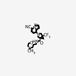 CN1CCOC(CNC(=O)[C@@]23CN(c4ccc(C#N)n5nccc45)C[C@]2(C(F)(F)F)C3)C1